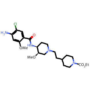 CCOC(=O)N1CCC(CCN2CC[C@H](NC(=O)c3cc(Cl)c(N)cc3OC)[C@H](OC)C2)CC1